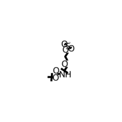 CC(C)(COCCCOS(C)(=O)=O)NC(=O)OC(C)(C)C